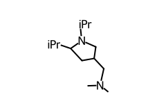 CC(C)C1CC(CN(C)C)CN1C(C)C